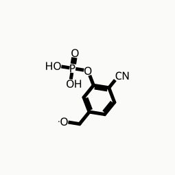 N#Cc1ccc(C[O])cc1OP(=O)(O)O